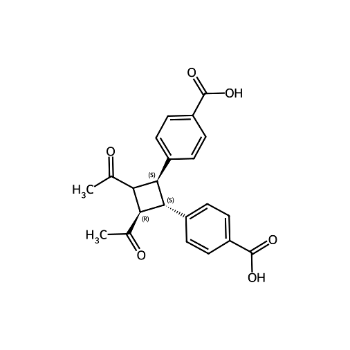 CC(=O)C1[C@@H](c2ccc(C(=O)O)cc2)[C@H](c2ccc(C(=O)O)cc2)[C@H]1C(C)=O